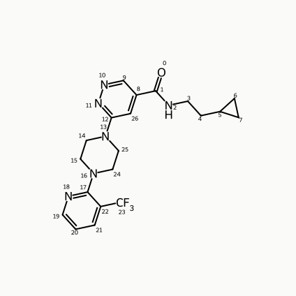 O=C(NCCC1CC1)c1cnnc(N2CCN(c3ncccc3C(F)(F)F)CC2)c1